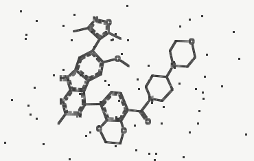 COc1cc2c(cc1-c1c(C)noc1C)[nH]c1nc(C)nc(-c3ccc(C(=O)N4CCC(N5CCOCC5)CC4)c4c3OCCO4)c12